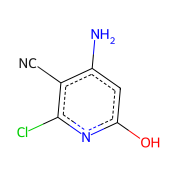 N#Cc1c(N)cc(O)nc1Cl